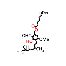 CCCCCCCCCCCCCCCC(=O)OCc1cc(OC)c(C/C=C(\C)C[CH]C=C(C)C)c(O)c1C=O